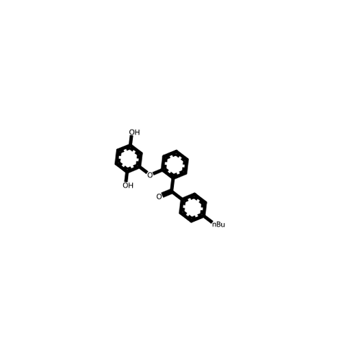 CCCCc1ccc(C(=O)c2ccccc2Oc2cc(O)ccc2O)cc1